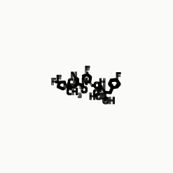 CC(C)(C=C(C#N)C(=O)N1C[C@@H](F)C[C@@H]1COC(=O)NC(Cc1ccc(F)cc1)B(O)O)N1CCC(F)(F)C1